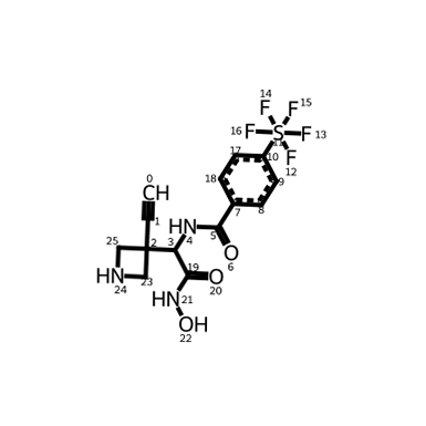 C#CC1(C(NC(=O)c2ccc(S(F)(F)(F)(F)F)cc2)C(=O)NO)CNC1